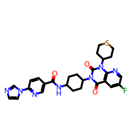 O=C(NC1CCC(n2c(=O)c3cc(F)cnc3n(C3CCSCC3)c2=O)CC1)c1ccc(-n2ccnc2)nc1